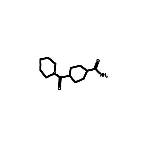 NC(=O)C1CCC(C(=O)N2CCCCC2)CC1